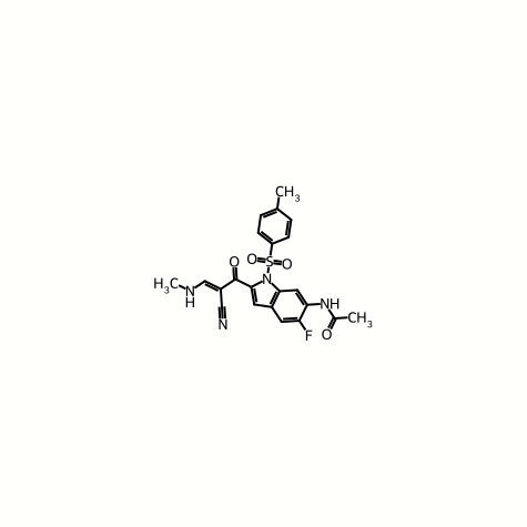 CN/C=C(\C#N)C(=O)c1cc2cc(F)c(NC(C)=O)cc2n1S(=O)(=O)c1ccc(C)cc1